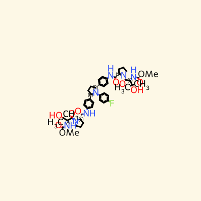 COC(=O)N[C@H](C(=O)N1CCC[C@H]1C(=O)Nc1ccc([C@H]2CC[C@H](c3ccc(NC(=O)[C@@H]4CCCN4C(=O)[C@@H](NC(=O)OC)C(C)(C)O)cc3)N2c2ccc(F)cc2)cc1)C(C)(C)O